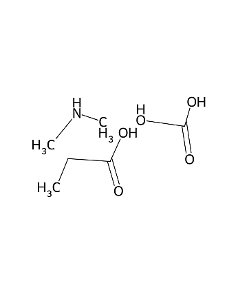 CCC(=O)O.CNC.O=C(O)O